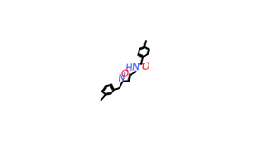 Cc1ccc(C(=O)NCc2cc(Cc3cccc(C)c3)no2)cc1